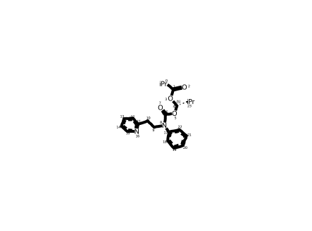 CC(C)C(=O)O[C@@H](OC(=O)N(CCc1ccccn1)c1ccccc1)C(C)C